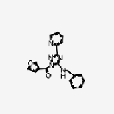 O=C(c1ccoc1)n1nc(-c2ccccn2)nc1NCc1ccccc1